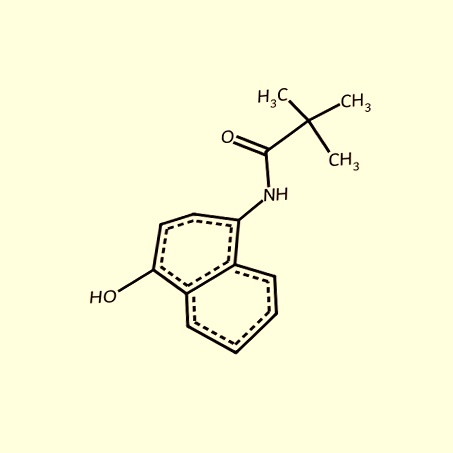 CC(C)(C)C(=O)Nc1ccc(O)c2ccccc12